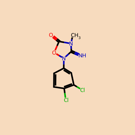 Cn1c(=O)on(-c2ccc(Cl)c(Cl)c2)c1=N